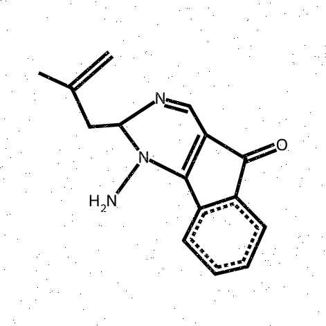 C=C(C)CC1N=CC2=C(c3ccccc3C2=O)N1N